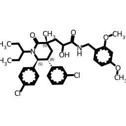 CCC(CC)N1C(=O)[C@](C)(CC(O)C(=O)NCc2ccc(OC)cc2OC)C[C@H](c2cccc(Cl)c2)[C@H]1c1ccc(Cl)cc1